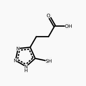 O=C(O)CCc1nn[nH]c1S